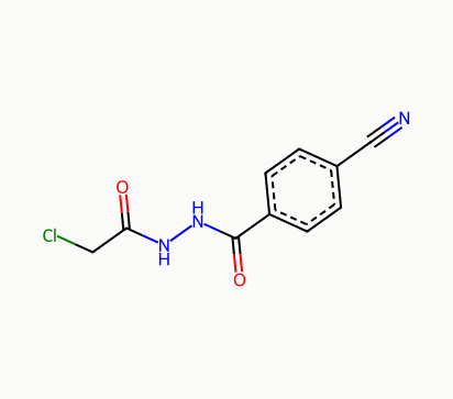 N#Cc1ccc(C(=O)NNC(=O)CCl)cc1